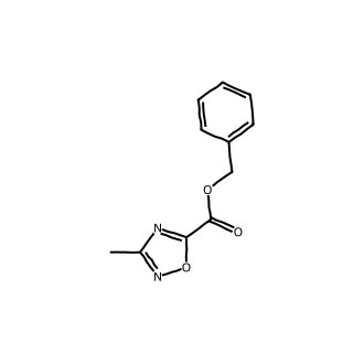 Cc1noc(C(=O)OCc2ccccc2)n1